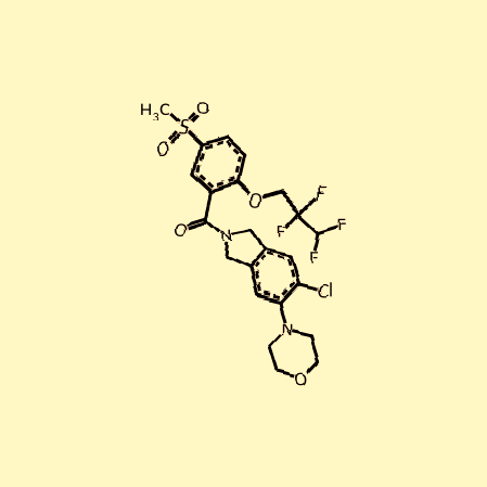 CS(=O)(=O)c1ccc(OCC(F)(F)C(F)F)c(C(=O)N2Cc3cc(Cl)c(N4CCOCC4)cc3C2)c1